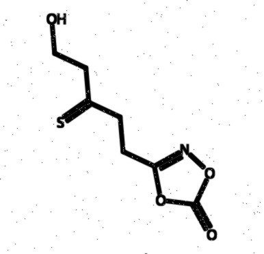 O=c1onc(CCC(=S)CCO)o1